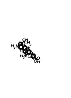 C=C(C)[C@@H]1CC[C@]2(N)CC[C@]3(C)[C@H](CC[C@@H]4[C@@]5(C)CC=C(c6ccc(C(=O)O)cc6)C(C)(C)[C@@H]5CC[C@]43C)[C@@H]12